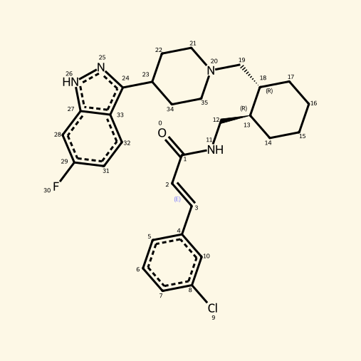 O=C(/C=C/c1cccc(Cl)c1)NC[C@@H]1CCCC[C@H]1CN1CCC(c2n[nH]c3cc(F)ccc23)CC1